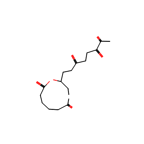 CC(=O)C(=O)CCC(=O)CCC1CCC(=O)CCCCC(=O)O1